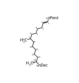 [CH2]CCCC/C=C/CCCCC(C)CCCCCC(C)CCCCCCCCC[CH2]